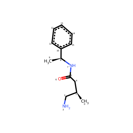 C[C@@H](CN)CC(=O)N[C@@H](C)c1ccccc1